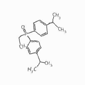 [CH2]CP(=O)(c1ccc(C(C)C)cc1)c1ccc(C(C)C)cc1